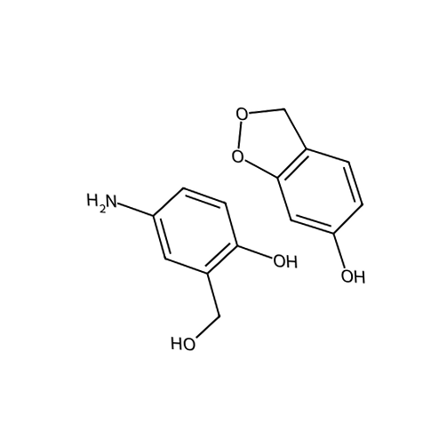 Nc1ccc(O)c(CO)c1.Oc1ccc2c(c1)OOC2